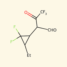 CCC1C(C(C=O)C(=O)C(F)(F)F)C1(F)F